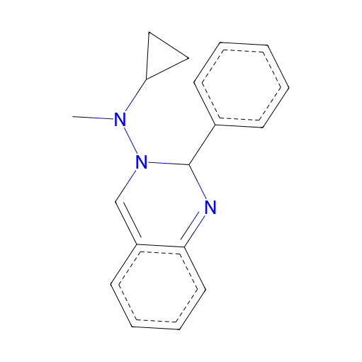 CN(C1CC1)N1C=c2ccccc2=NC1c1ccccc1